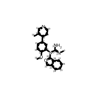 CN=C(N)N(c1cc(-c2ccncc2C)ccc1OC)c1occ2ccccc12